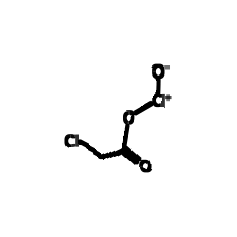 O=C(CCl)O[Cl+][O-]